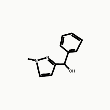 Cn1ccc(C(O)c2ccccc2)n1